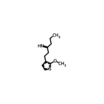 CCCC(=N)CCc1ccsc1OC